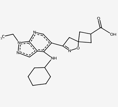 CCn1ncc2c(NC3CCCCC3)c(C3=NOC4(C3)CC(C(=O)O)C4)cnc21